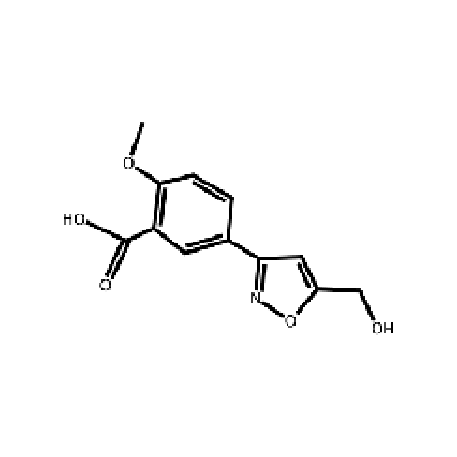 COc1ccc(-c2cc(CO)on2)cc1C(=O)O